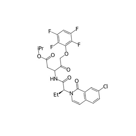 CC[C@@H](C(=O)NC(CC(=O)OC(C)C)C(=O)COc1c(F)c(F)cc(F)c1F)n1ccc2ccc(Cl)cc2c1=O